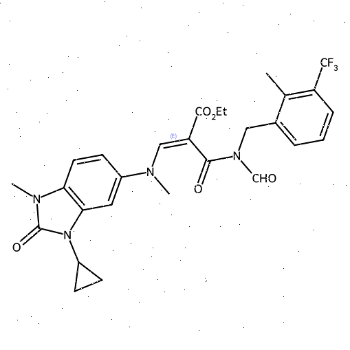 CCOC(=O)/C(=C/N(C)c1ccc2c(c1)n(C1CC1)c(=O)n2C)C(=O)N(C=O)Cc1cccc(C(F)(F)F)c1C